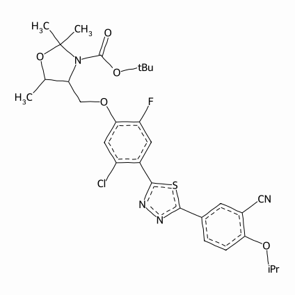 CC(C)Oc1ccc(-c2nnc(-c3cc(F)c(OCC4C(C)OC(C)(C)N4C(=O)OC(C)(C)C)cc3Cl)s2)cc1C#N